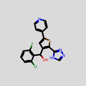 OC(c1cc(-c2ccncc2)sc1-c1nnc[nH]1)c1c(F)cccc1Cl